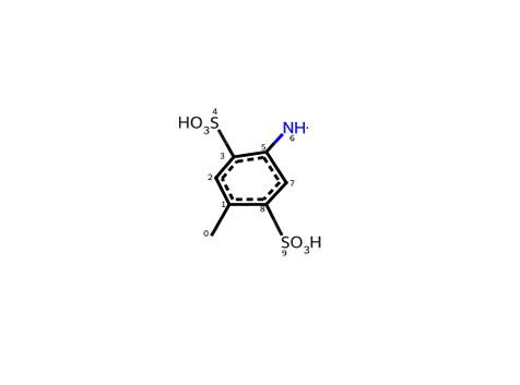 Cc1cc(S(=O)(=O)O)c([NH])cc1S(=O)(=O)O